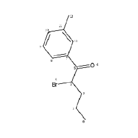 CCCC(Br)C(=O)c1cccc(C)c1